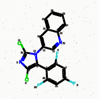 Fc1cc(F)c(-c2c(Cl)nc(Cl)n2-c2cnc3ccccc3c2)c(F)c1